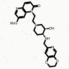 CSc1cnc2ccc(=O)n(CCN3CC[C@H](NCc4cc5c(cn4)OCCO5)[C@H](O)C3)c2c1